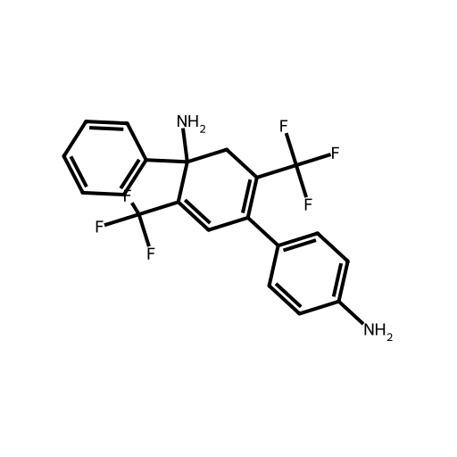 Nc1ccc(C2=C(C(F)(F)F)CC(N)(c3ccccc3)C(C(F)(F)F)=C2)cc1